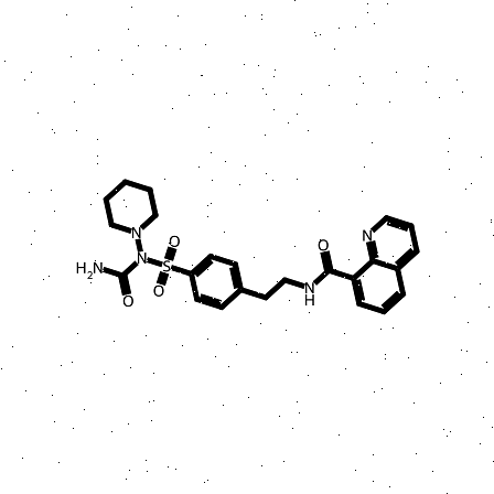 NC(=O)N(N1CCCCC1)S(=O)(=O)c1ccc(CCNC(=O)c2cccc3cccnc23)cc1